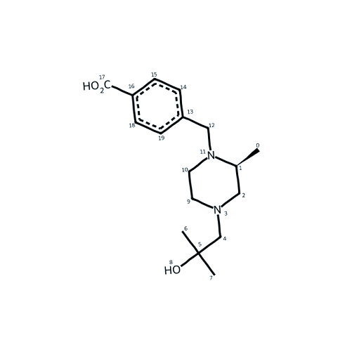 C[C@H]1CN(CC(C)(C)O)CCN1Cc1ccc(C(=O)O)cc1